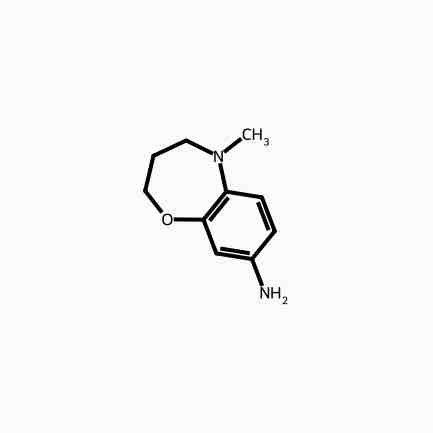 CN1CCCOc2cc(N)ccc21